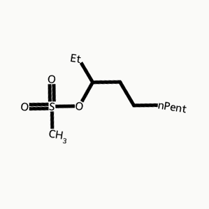 CCCCCCCC(CC)OS(C)(=O)=O